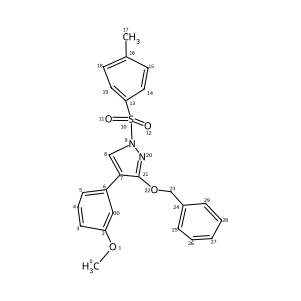 COc1cccc(-c2cn(S(=O)(=O)c3ccc(C)cc3)nc2OCc2ccccc2)c1